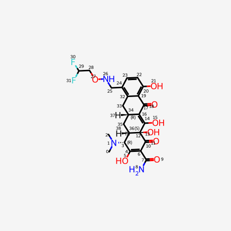 CN(C)[C@H]1C(O)=C(C(N)=O)C(=O)[C@@]2(O)C(O)=C3C(=O)c4c(O)ccc(CNOCC(F)F)c4C[C@H]3C[C@@H]12